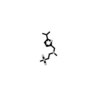 CC(C)c1ccc(CN(C)CCS(C)(=O)=O)o1